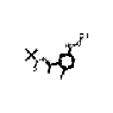 C/C(=N\[S+]([O-])C(C)(C)C)c1cc(NOO)ccc1F